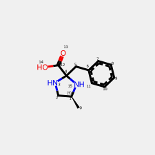 C[C@H]1CNC(Cc2ccccc2)(C(=O)O)N1